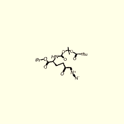 CC(C)OC(=O)[C@H](CCC(=O)C=[N+]=[N-])NC(=O)OC(C)(C)OC(=O)C(C)(C)C